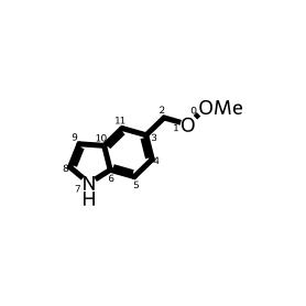 COOCc1ccc2[nH]ccc2c1